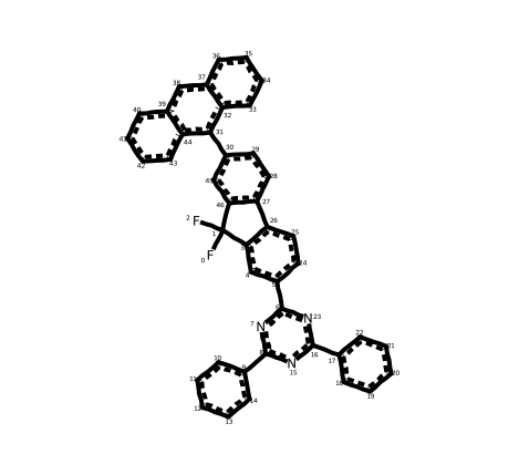 FC1(F)c2cc(-c3nc(-c4ccccc4)nc(-c4ccccc4)n3)ccc2-c2ccc(-c3c4ccccc4cc4ccccc34)cc21